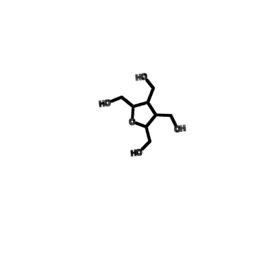 OCC1OC(CO)C(CO)C1CO